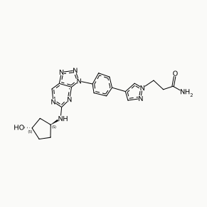 NC(=O)CCn1cc(-c2ccc(-n3nnc4cnc(N[C@H]5CC[C@H](O)C5)nc43)cc2)cn1